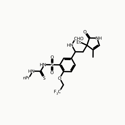 CCCNC(=S)NS(=O)(=O)c1cc(C(CC2(CC)C(=O)NC=C2C)NC=O)ccc1OCC(F)(F)F